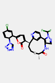 C[C@@H]1CCC[C@@H](c2ccc(C3C=C(Cl)C=CC3n3cnnn3)oc2=O)c2cc(ccn2)-c2c(cnn2C(F)F)NC1=O